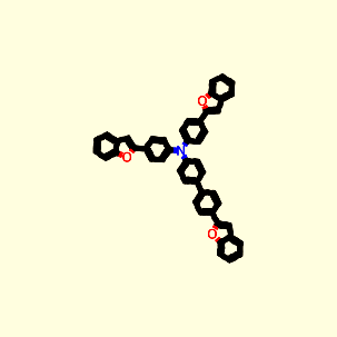 c1ccc2oc(-c3ccc(-c4ccc(N(c5ccc(-c6cc7ccccc7o6)cc5)c5ccc(-c6cc7ccccc7o6)cc5)cc4)cc3)cc2c1